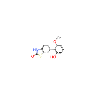 CC(C)Oc1cccc(O)c1-c1ccc2[nH]c(=O)sc2c1